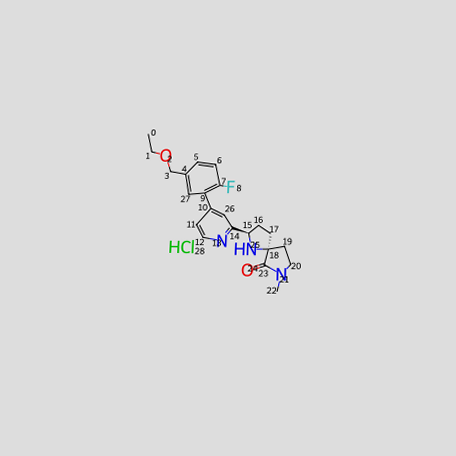 CCOCc1ccc(F)c(-c2ccnc([C@H]3CC[C@@]4(CCN(C)C4=O)N3)c2)c1.Cl